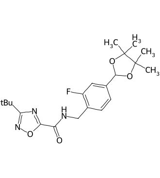 CC(C)(C)c1noc(C(=O)NCc2ccc(C3OC(C)(C)C(C)(C)O3)cc2F)n1